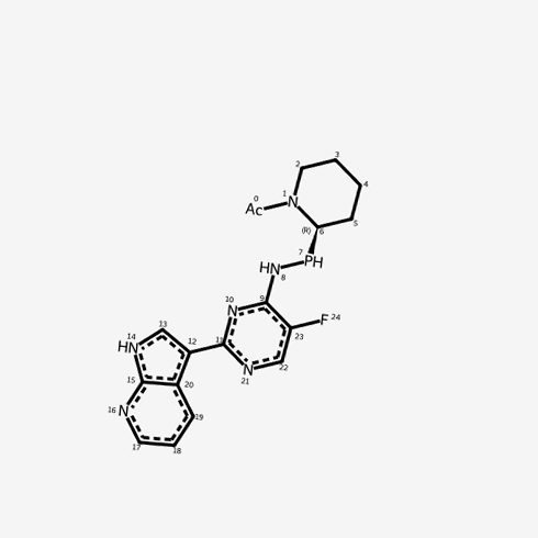 CC(=O)N1CCCC[C@H]1PNc1nc(-c2c[nH]c3ncccc23)ncc1F